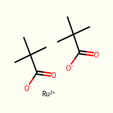 CC(C)(C)C(=O)[O-].CC(C)(C)C(=O)[O-].[Ru+2]